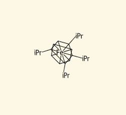 CC(C)[C]12[CH]3[C]4(C(C)C)[C]5(C(C)C)[C]1(C(C)C)[Fe]32451678[CH]2[CH]1[CH]6[CH]7[CH]28